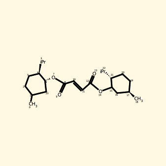 CC1CC[C@@H](C(C)C)[C@H](OC(=O)/C=C/C(=O)OC2C[C@H](C)CC[C@H]2C(C)C)C1